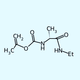 C=C(C)OC(=O)N[C@H](C)C(=O)NCC